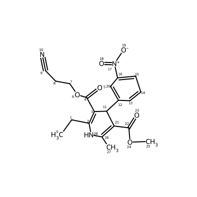 CCC1=C(C(=O)OCCC#N)C(c2cccc([N+](=O)[O-])c2)C(C(=O)OC)=C(C)N1